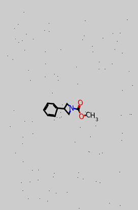 COC(=O)N1CC(c2ccccc2)C1